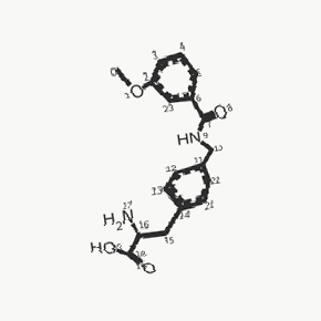 COc1cccc(C(=O)NCc2ccc(C[C@H](N)C(=O)O)cc2)c1